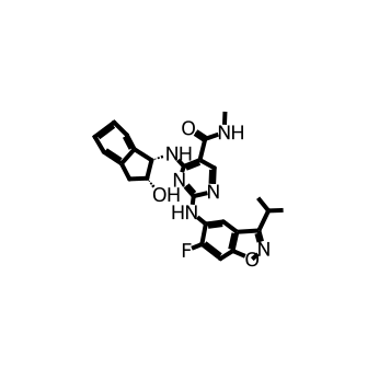 CNC(=O)c1cnc(Nc2cc3c(C(C)C)noc3cc2F)nc1N[C@H]1c2ccccc2C[C@H]1O